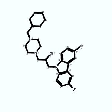 OC(CN1CCN(CC2CCCCC2)CC1)Cn1c2ccc(Br)cc2c2cc(Br)ccc21